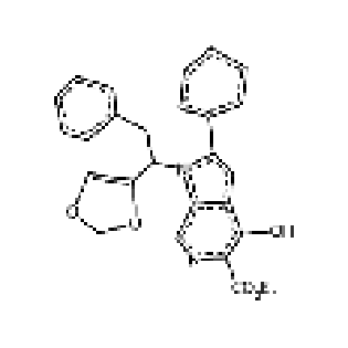 CCOC(=O)c1ncc2c(cc(-c3ccccc3)n2C(Cc2ccccc2)C2=COCO2)c1O